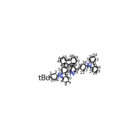 CC(C)(C)c1ccc(-n2c3ccccc3c3cc(C4(c5cncc(-c6ccc(-n7c8ccccc8c8ccccc87)cc6)c5)c5ccccc5-c5ccccc54)ccc32)cc1